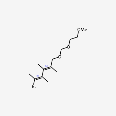 CC/C(C)=C(C)/C(C)=C(\C)COCOCCOC